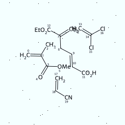 C=C(C)C(=O)OC.C=C(CC=CC(=O)O)C(=O)OCC.C=C(Cl)Cl.C=CC#N